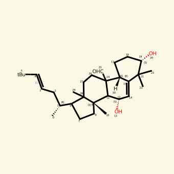 C[C@H](C/C=C/C(C)(C)C)C1CC[C@@]2(C)C3[C@@H](O)C=C4[C@@H](CC[C@H](O)C4(C)C)C3(C=O)CCC12C